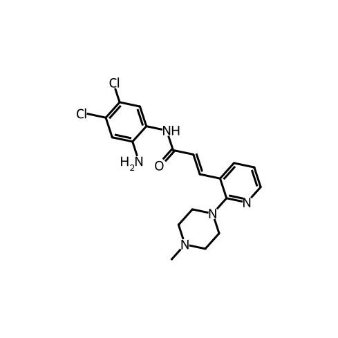 CN1CCN(c2ncccc2/C=C/C(=O)Nc2cc(Cl)c(Cl)cc2N)CC1